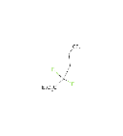 CCOC(=O)C(F)(F)CCC(F)(F)F